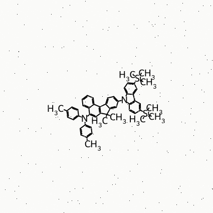 Cc1ccc(N(c2ccc(C)cc2)c2cc3c(c4ccccc24)-c2ccc(-n4c5ccc([Si](C)(C)C)cc5c5cc([Si](C)(C)C)ccc54)cc2C3(C)C)cc1